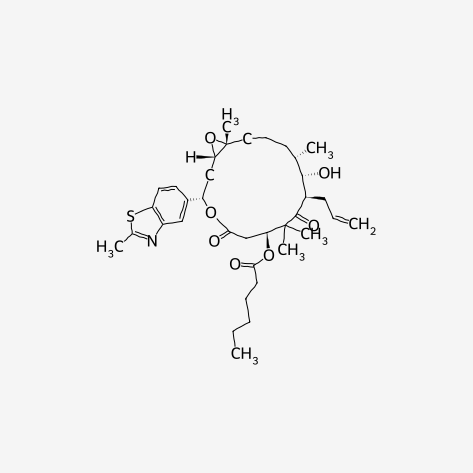 C=CC[C@H]1C(=O)C(C)(C)[C@@H](OC(=O)CCCCC)CC(=O)O[C@H](c2ccc3sc(C)nc3c2)C[C@@H]2O[C@]2(C)CCC[C@H](C)[C@@H]1O